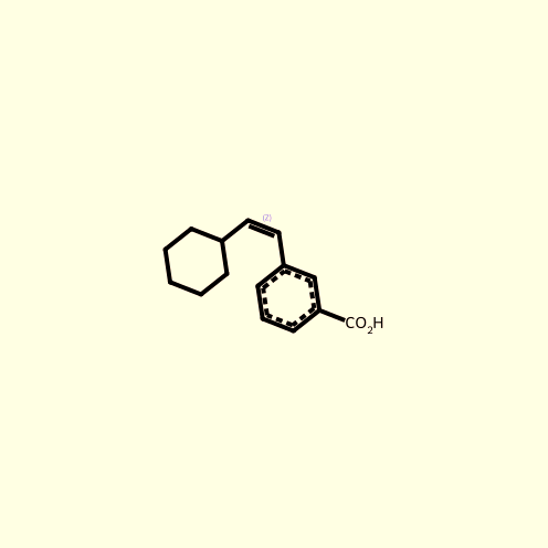 O=C(O)c1cccc(/C=C\C2CCCCC2)c1